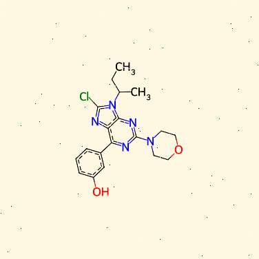 CCC(C)n1c(Cl)nc2c(-c3cccc(O)c3)nc(N3CCOCC3)nc21